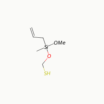 C=CC[Si](C)(OC)OCS